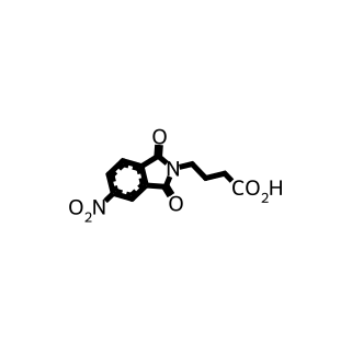 O=C(O)CCCN1C(=O)c2ccc([N+](=O)[O-])cc2C1=O